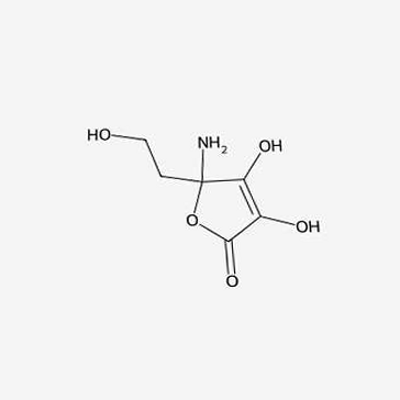 NC1(CCO)OC(=O)C(O)=C1O